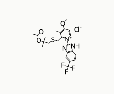 COc1cc[n+](-c2nc3cc(C(F)(F)F)ccc3[nH]2)c(CSCC(C)(C)OC(C)=O)c1C.[Cl-]